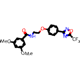 COc1cc(OC)cc(C(=O)NCCOc2ccc(-c3noc(C(F)(F)F)n3)cc2)c1